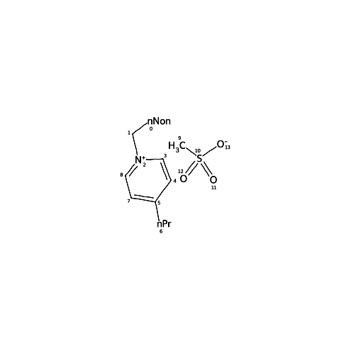 CCCCCCCCCC[n+]1ccc(CCC)cc1.CS(=O)(=O)[O-]